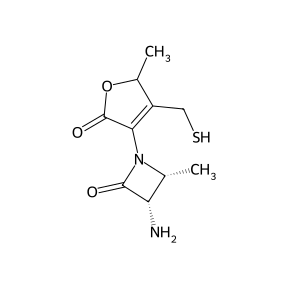 CC1OC(=O)C(N2C(=O)[C@@H](N)[C@H]2C)=C1CS